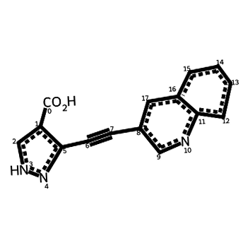 O=C(O)c1c[nH]nc1C#Cc1cnc2ccccc2c1